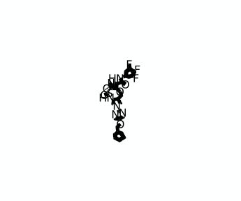 Cn1cc2c(c1C(=O)Nc1cc(F)c(F)c(F)c1)OCC1CN(c3ncc(OCc4ccccc4)cn3)CC1NS2(=O)=O